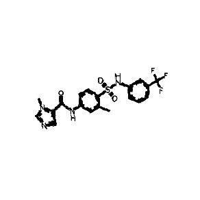 Cc1cc(NC(=O)c2cncn2C)ccc1S(=O)(=O)Nc1cccc(C(F)(F)F)c1